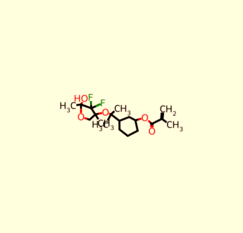 C=C(C)C(=O)OC1CCCC(C(C)(C)OC2(C)COC(C)(O)C2(F)F)C1